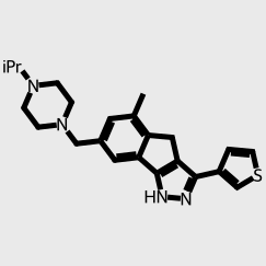 Cc1cc(CN2CCN(C(C)C)CC2)cc2c1Cc1c(-c3ccsc3)n[nH]c1-2